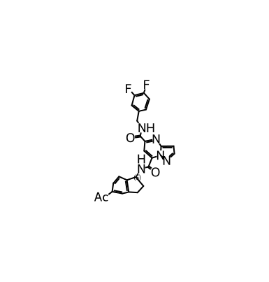 CC(=O)c1ccc2c(c1)CC[C@@H]2NC(=O)c1cc(C(=O)NCc2ccc(F)c(F)c2)nc2ccnn12